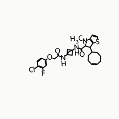 CN1c2ccsc2C(C2CC/C=C\CCC2)C1C(=O)NC12CC(NC(=O)COc3ccc(Cl)c(F)c3)(C1)C2